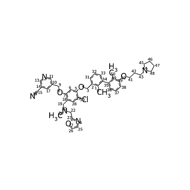 Cc1c(COc2cc(OCc3cncc(C#N)c3)c(CN(C)Cc3ncco3)cc2Cl)cccc1-c1cccc(OCCCN2CCCC2)c1C